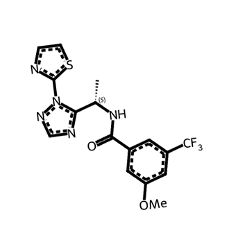 COc1cc(C(=O)N[C@@H](C)c2ncnn2-c2nccs2)cc(C(F)(F)F)c1